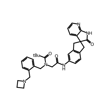 CC(C)(C)C(=O)N(CC(=O)Nc1ccc2c(c1)CC1(C2)C(=O)Nc2ncccc21)Cc1ccccc1CN1CCC1